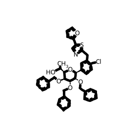 CC(O)[C@H]1O[C@@H](c2ccc(Cl)c(Cc3ncc(-c4ccco4)s3)c2)[C@H](OCc2ccccc2)[C@H](OCc2ccccc2)[C@H]1OCc1ccccc1